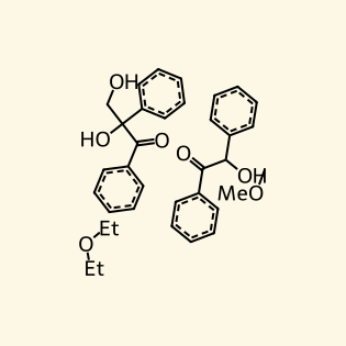 CCOCC.COC.O=C(c1ccccc1)C(O)(CO)c1ccccc1.O=C(c1ccccc1)C(O)c1ccccc1